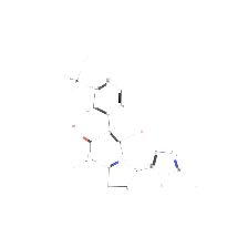 Cn1c2[n+](c(O)c(-c3cccc(C(F)(F)F)c3)c1=O)C(c1cnc(Cl)s1)CC2